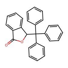 O=C1OC(C(c2ccccc2)(c2ccccc2)c2ccccc2)c2ccccc21